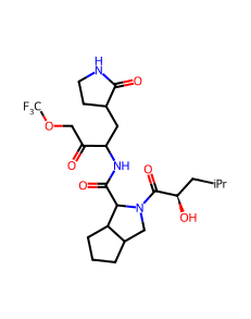 CC(C)C[C@@H](O)C(=O)N1CC2CCCC2C1C(=O)NC(CC1CCNC1=O)C(=O)COC(F)(F)F